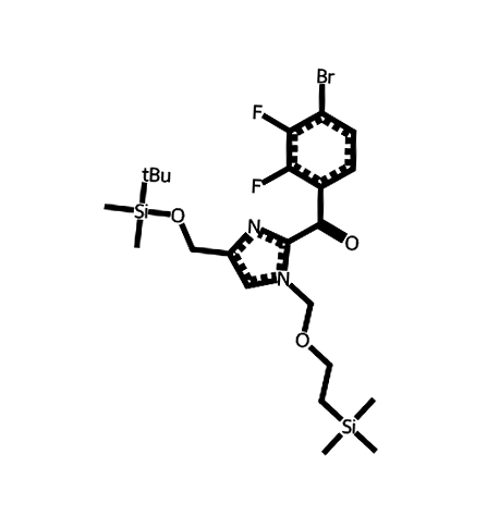 CC(C)(C)[Si](C)(C)OCc1cn(COCC[Si](C)(C)C)c(C(=O)c2ccc(Br)c(F)c2F)n1